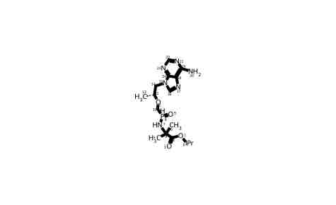 CC(C)OC(=O)C(C)(C)N[PH](=O)CO[C@H](C)Cn1cnc2c(N)ncnc21